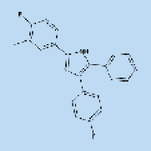 Fc1ccc(-c2nc(-c3ccc(F)c(F)c3)[nH]c2-c2ccncc2)cc1